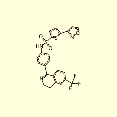 O=S(=O)(Nc1ccc(C2=NCCc3cc(C(F)(F)F)ccc32)cc1)c1ccc(-c2ccon2)s1